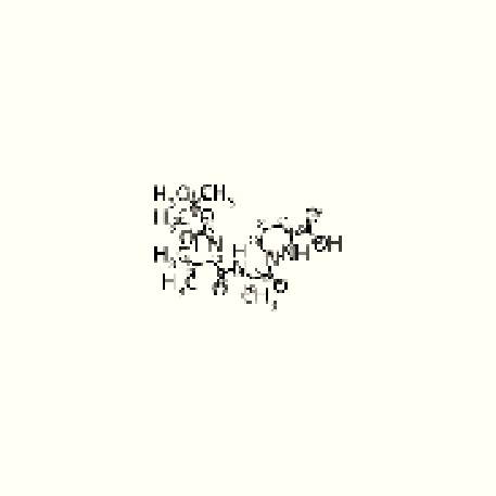 CC(C)[C@H](NC(=O)OC(C)(C)C)C(=O)N[C@@H](C)C(=O)N1CCC[C@@H](C(=O)O)N1